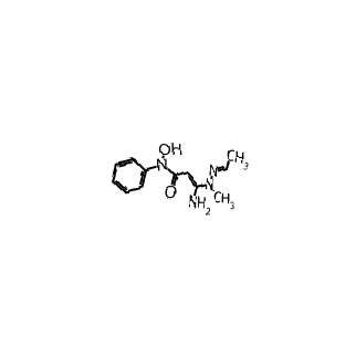 C/C=N/N(C)/C(N)=C/C(=O)N(O)c1ccccc1